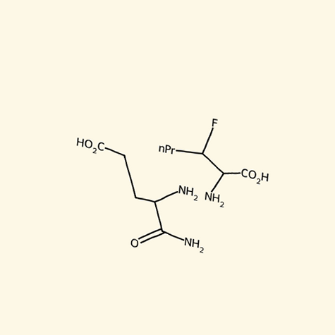 CCCC(F)C(N)C(=O)O.NC(=O)C(N)CCC(=O)O